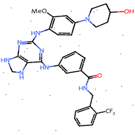 COc1cc(N2CCC(O)CC2)ccc1Nc1nc2c(c(Nc3cccc(C(=O)NCc4ccccc4C(F)(F)F)c3)n1)NCN2